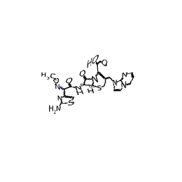 CO/N=C(\C(=O)N[C@@H]1C(=O)N2C(C(=O)O)=C(CN3C=CN4CC=CN=C43)CS[C@@H]12)c1csc(N)n1